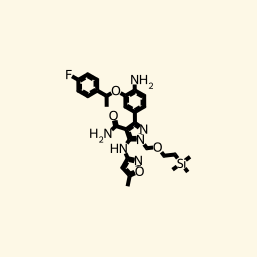 Cc1cc(Nc2c(C(N)=O)c(-c3ccc(N)c(OC(C)c4ccc(F)cc4)c3)nn2COCC[Si](C)(C)C)no1